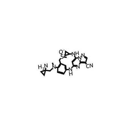 CN(CC1(N)CC1)c1ccc(Nc2cc(NC3CC3)n3ncc(C#N)c3n2)cc1C[S+](C)[O-]